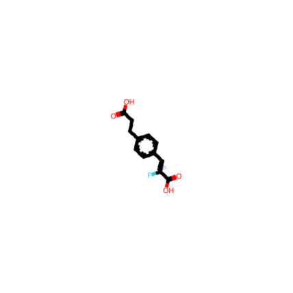 O=C(O)CCc1ccc(/C=C(\F)C(=O)O)cc1